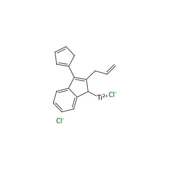 C=CCC1=C(C2=CC=CC2)c2ccccc2[CH]1[Ti+2].[Cl-].[Cl-]